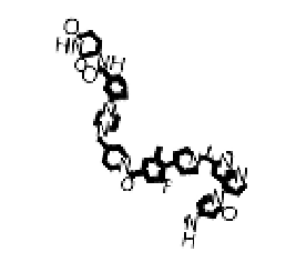 CNc1ccn(-c2ccnc3c2cc([C@H](C)N2CC=C(c4c(C)cc(C(=O)N5CCC(CN6CCN(c7cccc(C(=O)NC8CCC(=O)NC8=O)c7)CC6)CC5)cc4F)CC2)n3C)c(=O)c1